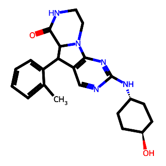 Cc1ccccc1C1c2cnc(N[C@H]3CC[C@H](O)CC3)nc2N2CCNC(=O)C12